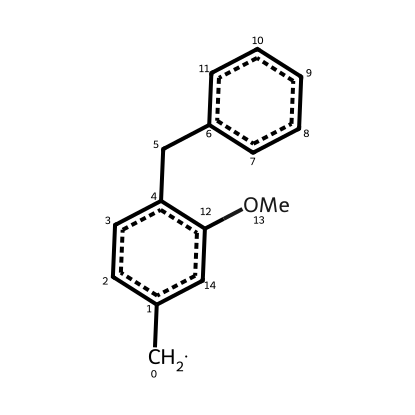 [CH2]c1ccc(Cc2ccccc2)c(OC)c1